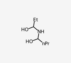 CCCC(O)NC(O)CC